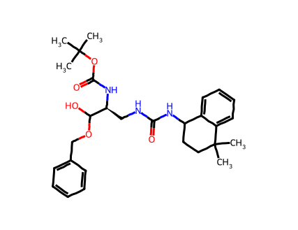 CC(C)(C)OC(=O)N[C@@H](CNC(=O)NC1CCC(C)(C)c2ccccc21)C(O)OCc1ccccc1